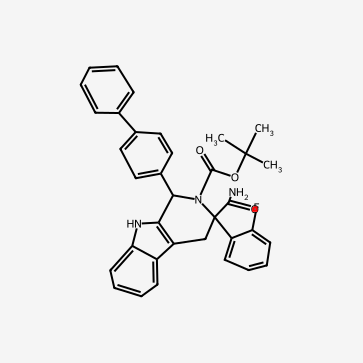 CC(C)(C)OC(=O)N1C(c2ccc(-c3ccccc3)cc2)c2[nH]c3ccccc3c2CC1(C(N)=O)c1ccccc1F